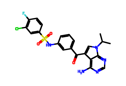 CC(C)n1cc(C(=O)c2cccc(NS(=O)(=O)c3ccc(F)c(Cl)c3)c2)c2c(N)ncnc21